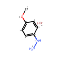 Br.CCOc1ccc(NN)cc1